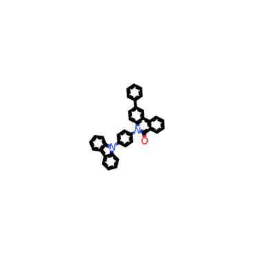 O=c1c2ccccc2c2cc(-c3ccccc3)ccc2n1-c1ccc(-n2c3ccccc3c3ccccc32)cc1